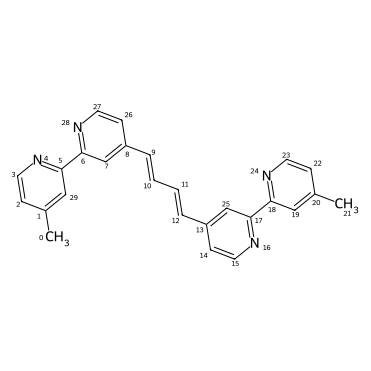 Cc1ccnc(-c2cc(C=CC=Cc3ccnc(-c4cc(C)ccn4)c3)ccn2)c1